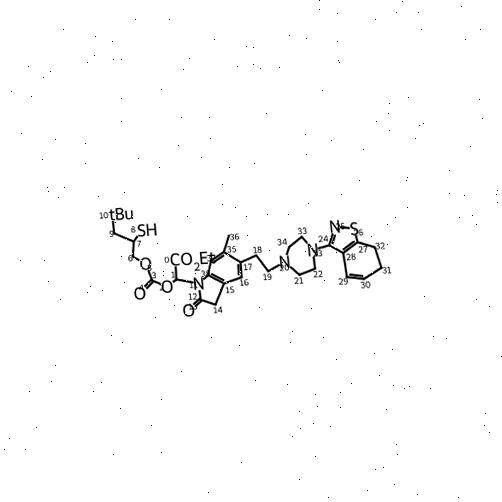 CCOC(=O)C(OC(=O)OCC(S)CC(C)(C)C)N1C(=O)Cc2cc(CCN3CCN(c4nsc5c4C=CCC5)CC3)c(C)cc21